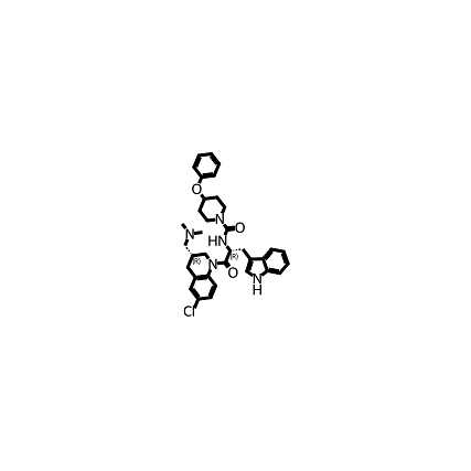 CN(C)C[C@H]1Cc2cc(Cl)ccc2N(C(=O)[C@@H](Cc2c[nH]c3ccccc23)NC(=O)N2CCC(Oc3ccccc3)CC2)C1